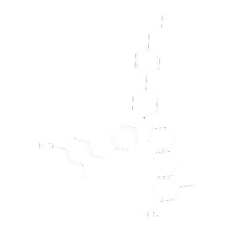 CCCc1ccc(C2CCC(c3ccc(Oc4ccc(N)cc4C)cc3)(c3ccc(Oc4ccc(N)cc4C)cc3)CC2)cc1